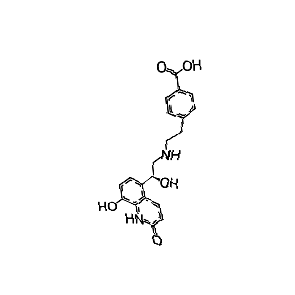 O=C(O)c1ccc(CCNC[C@@H](O)c2ccc(O)c3[nH]c(=O)ccc23)cc1